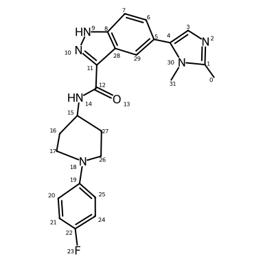 Cc1ncc(-c2ccc3[nH]nc(C(=O)NC4CCN(c5ccc(F)cc5)CC4)c3c2)n1C